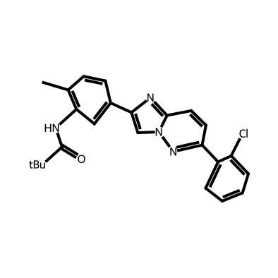 Cc1ccc(-c2cn3nc(-c4ccccc4Cl)ccc3n2)cc1NC(=O)C(C)(C)C